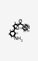 Nc1cccc(-c2ccc(C(=O)N3CCN4CCC3CC4)o2)c1